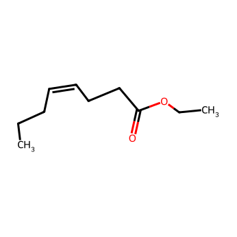 CCC/C=C\CCC(=O)OCC